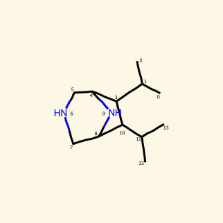 CC(C)C1C2CNCC(N2)C1C(C)C